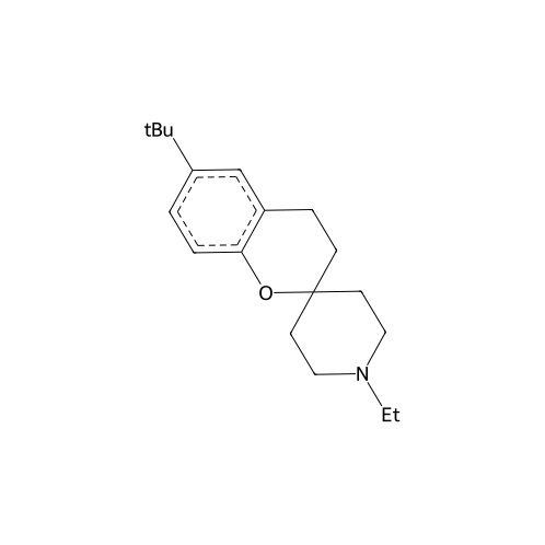 CCN1CCC2(CCc3cc(C(C)(C)C)ccc3O2)CC1